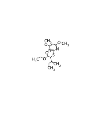 C=C(CC)C(Sc1nc(OC)cc(OC)n1)C(=O)OCC